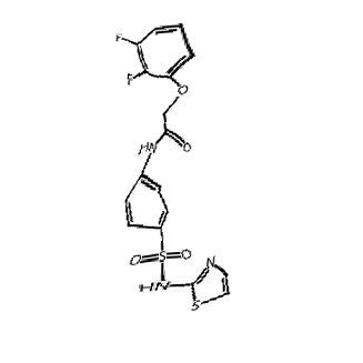 O=C(COc1cccc(F)c1F)Nc1ccc(S(=O)(=O)Nc2nccs2)cc1